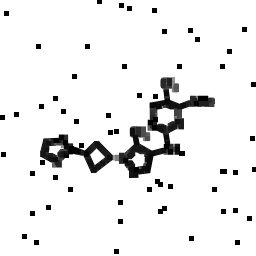 CNc1nc(Nc2cnn([C@H]3C[C@H](n4nccn4)C3)c2C)ncc1C(F)(F)F